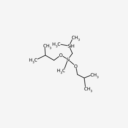 CC(C)CO[Si](C)(C[SiH](C)C)OCC(C)C